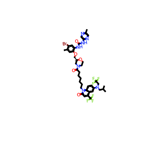 Cc1cnc(NC(=O)Nc2cc(Br)c(C)cc2OC[C@@H]2CN(C(=O)CCCCCCn3c(=O)cc(C(F)(F)F)c4cc(N(CC(C)C)CC(F)(F)F)ccc43)CCO2)cn1